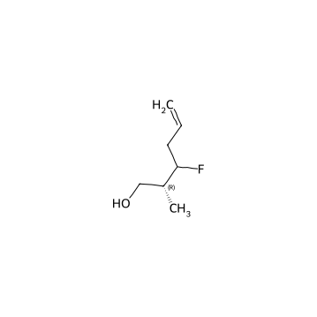 C=CCC(F)[C@H](C)CO